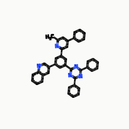 Cc1cc(-c2ccccc2)cc(-c2cc(-c3cnc4ccccc4c3)cc(-c3nc(-c4ccccc4)nc(-c4ccccc4)n3)c2)n1